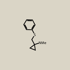 CNC1(CSc2ccccc2)CC1